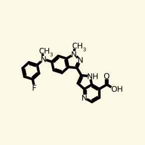 CN(c1cccc(F)c1)c1ccc2c(-c3cc4nccc(C(=O)O)c4[nH]3)nn(C)c2c1